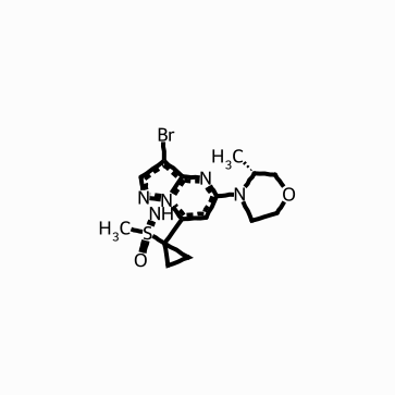 C[C@@H]1COCCN1c1cc(C2(S(C)(=N)=O)CC2)n2ncc(Br)c2n1